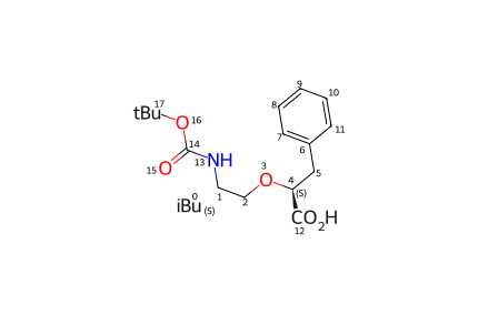 CC[C@H](C)C(CO[C@@H](Cc1ccccc1)C(=O)O)NC(=O)OC(C)(C)C